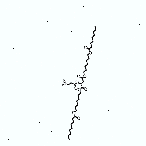 CCCCCCCCC(=O)OCCCCCCCOC(=O)C[C@H](OC(=O)CCN(C)C)C(=O)OCCCCCCCOC(=O)CCCCCCCC